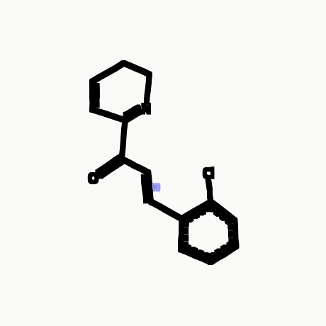 O=C(/C=C/c1ccccc1Cl)C1=NCCC=C1